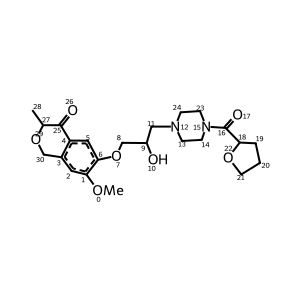 COc1cc2c(cc1OCC(O)CN1CCN(C(=O)C3CCCO3)CC1)C(=O)C(C)OC2